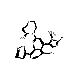 Cc1cnc(-c2ccn[nH]2)c2nc(N3CCOCC3C)cc(-c3cnc(Cl)n3C)c12